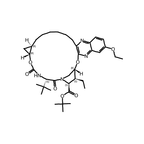 CCOc1ccc2nc3c(nc2c1)O[C@H]1CN(C(=O)[C@H](C(C)(C)C)NC(=O)O[C@@H]2C[C@H]2CCCCCC3)[C@H](C(=O)OC(C)(C)C)[C@@H]1CC